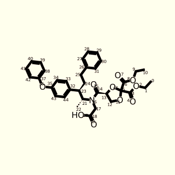 CCOC(=O)C1(C(=O)OCC)OC[C@@H](C(=O)N(CC(=O)O)[C@H](C)[C@H](CCc2ccccc2)c2ccc(Oc3ccccc3)cc2)O1